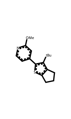 COc1cc(-c2sc3c(c2C(C)(C)C)CCC3)ccn1